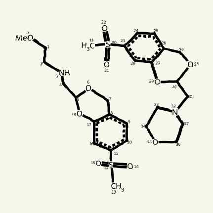 COCCNCC1OCc2ccc(S(C)(=O)=O)cc2O1.CS(=O)(=O)c1ccc2c(c1)OC(CN1CCOCC1)OC2